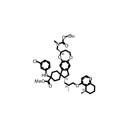 COC(=O)C1(Nc2cccc(Cl)c2)CCC2(CC1)c1cc3c(cc1C[C@@H]2C[C@@H](C)COc1ccnc2c1[C@H](C)CCC2)OCC[C@H](CN(C)C(=O)OC(C)(C)C)O3